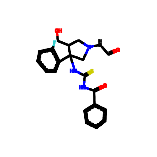 O=CBN1CC(CO)C(NC(=S)NC(=O)c2ccccc2)(c2ccccc2F)C1